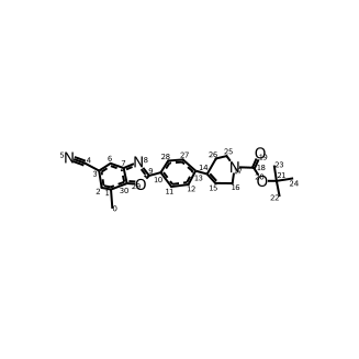 Cc1cc(C#N)cc2nc(-c3ccc(C4=CCN(C(=O)OC(C)(C)C)CC4)cc3)oc12